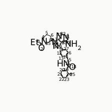 CCC(=O)N1CCC[C@@H](n2nc(-c3ccc(CNC(=O)c4ccccc4C)cc3)c3c(N)ncnc32)C1